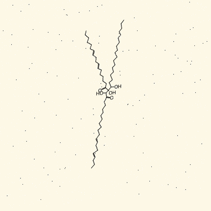 CCC/C=C/CC/C=C/CCCCCCCCCCC(=O)C(O)C(O)(C(=O)CCCCC/C=C/CC/C=C/CCCCCC)C(O)CCCCCCCCCCCCCCCCCC